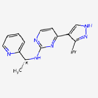 CC(C)c1n[nH]cc1-c1ccnc(N[C@H](C)c2ccccn2)n1